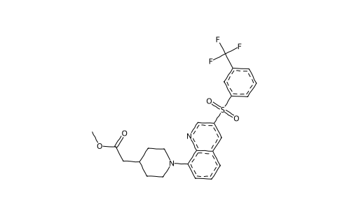 COC(=O)CC1CCN(c2cccc3cc(S(=O)(=O)c4cccc(C(F)(F)F)c4)cnc23)CC1